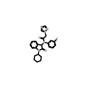 O=C1C(N(C(=O)Cn2cncn2)c2cccc(F)c2)c2ccccc2N1C1CCCCC1